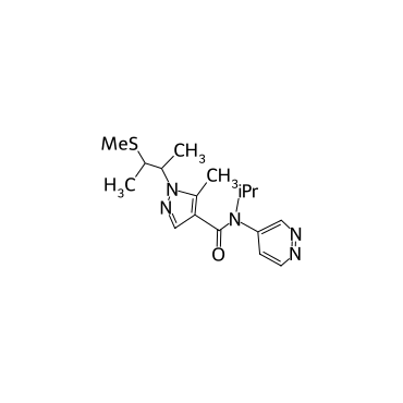 CSC(C)C(C)n1ncc(C(=O)N(c2ccnnc2)C(C)C)c1C